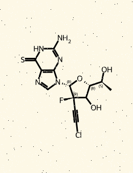 C[C@H](O)[C@H]1O[C@@H](n2cnc3c(=S)[nH]c(N)nc32)[C@@](F)(C#CCl)C1O